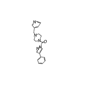 O=C(N1CCN(Cc2cccnc2)CC1)n1cc(-c2ccccc2)cn1